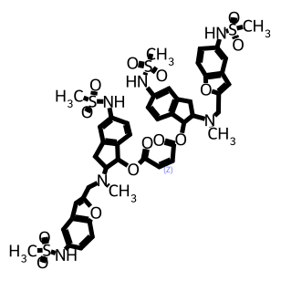 CN(Cc1cc2cc(NS(C)(=O)=O)ccc2o1)C1Cc2cc(NS(C)(=O)=O)ccc2C1OC(=O)/C=C\C(=O)OC1c2ccc(NS(C)(=O)=O)cc2CC1N(C)Cc1cc2cc(NS(C)(=O)=O)ccc2o1